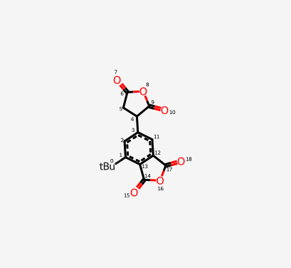 CC(C)(C)c1cc(C2CC(=O)OC2=O)cc2c1C(=O)OC2=O